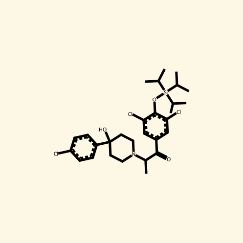 CC(C(=O)c1cc(Cl)c(O[Si](C(C)C)(C(C)C)C(C)C)c(Cl)c1)N1CCC(O)(c2ccc(Cl)cc2)CC1